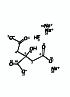 F.O=C([O-])CC(O)(CC(=O)[O-])C(=O)[O-].[Na+].[Na+].[Na+]